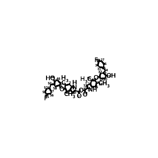 Cc1cc2[nH]c(C(=O)OC(=O)c3cc4c(C)c(Oc5ccc(O)c(Cc6ccc(F)cc6)c5)c(C)cc4[nH]3)cc2c(C)c1Oc1ccc(O)c(Cc2ccc(F)cc2)c1